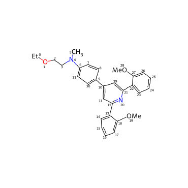 CCOCCN(C)c1ccc(-c2cc(-c3ccccc3OC)nc(-c3ccccc3OC)c2)cc1